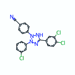 N#Cc1ccc(N2NC(c3ccc(Cl)c(Cl)c3)=NN2c2cccc(Cl)c2)cc1